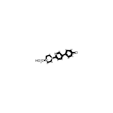 O=C(O)N1CCN(c2ccc(-c3ccc(Cl)cc3)cn2)CC1